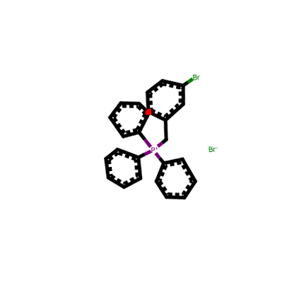 Brc1cccc(C[P+](c2ccccc2)(c2ccccc2)c2ccccc2)c1.[Br-]